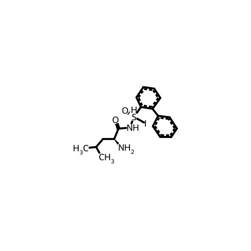 CC(C)C[C@H](N)C(=O)N[SH](=O)(I)c1ccccc1-c1ccccc1